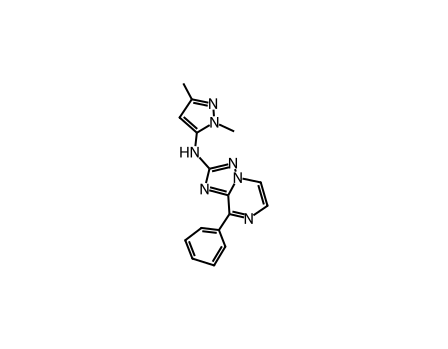 Cc1cc(Nc2nc3c(-c4ccccc4)nccn3n2)n(C)n1